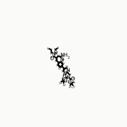 CCCN(OCC)C(=O)C1=Cc2ccc(-c3cnc(CN(C(=O)OC(C)(C)C)C(=O)OC(C)(C)C)nc3)cc2N=C(N)C1